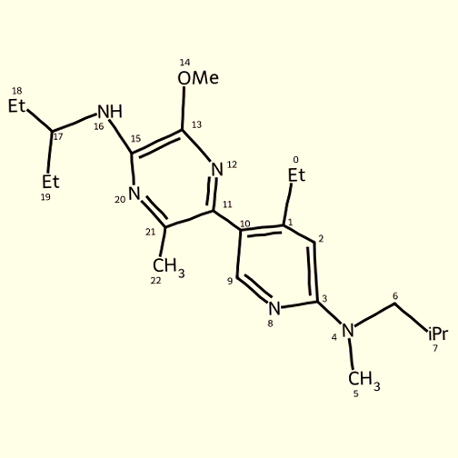 CCc1cc(N(C)CC(C)C)ncc1-c1nc(OC)c(NC(CC)CC)nc1C